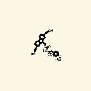 CC(C)(C)Oc1ccc(C[C@H](NC(=O)OCC2c3cc(C#CSI)ccc3-c3ccc(C#CSI)cc32)C(=O)O)cc1